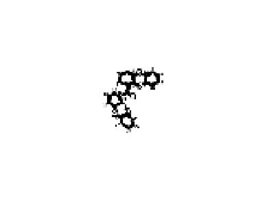 O=C(c1cccc2c1Sc1ccccc1O2)c1cccc2c1Sc1ccccc1O2